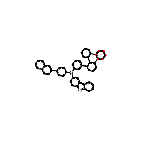 c1ccc(-c2ccccc2-c2c(-c3ccccc3)cccc2-c2cccc(N(c3ccc(-c4ccc5ccccc5c4)cc3)c3ccc4oc5ccccc5c4c3)c2)cc1